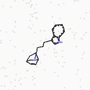 C1=CC2CCC1CN2CCCc1c[nH]c2ccccc12